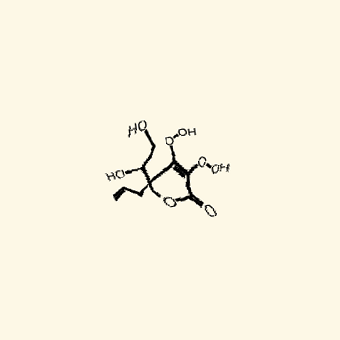 C=CC[C@]1([C@@H](O)CO)OC(=O)C(OO)=C1OO